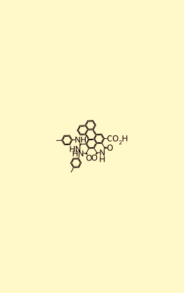 Cc1ccc(NC(=N)c2c(C(=O)Nc3ccc(C)cc3)c3c4c(c(C(=O)O)cc5c6cccc7cccc(c2c45)c76)C(=O)NC3=O)cc1